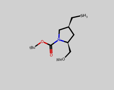 COC[C@@H]1C[C@H](C[SiH3])CN1C(=O)OC(C)(C)C